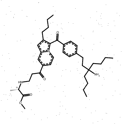 CCCCc1cc2cc(C(=O)CCN[C@@H](C)C(=O)OC)ccn2c1C(=O)c1ccc(CCC(N)(CCCC)CCCC)cc1